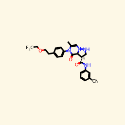 CC1=CN2NC[C@H](C(=O)Nc3cccc(C#N)c3)C2C(=O)N1c1ccc(CCOCC(F)(F)F)cc1